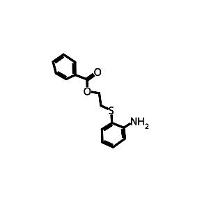 Nc1ccccc1SCCOC(=O)c1ccccc1